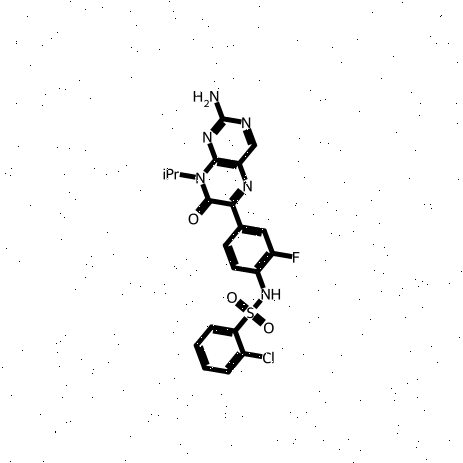 CC(C)n1c(=O)c(-c2ccc(NS(=O)(=O)c3ccccc3Cl)c(F)c2)nc2cnc(N)nc21